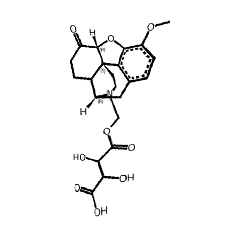 COc1ccc2c3c1O[C@H]1C(=O)CCC4[C@@H](C2)N(COC(=O)C(O)C(O)C(=O)O)CC[C@@]341